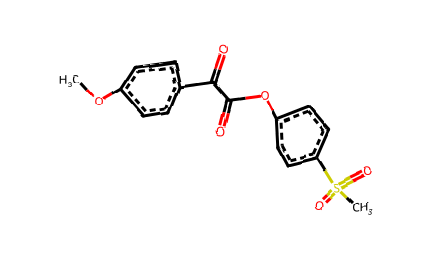 COc1ccc(C(=O)C(=O)Oc2ccc(S(C)(=O)=O)cc2)cc1